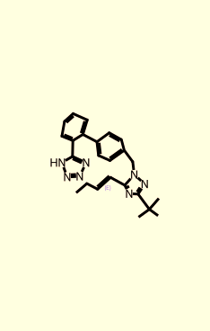 CC/C=C/c1nc(C(C)(C)C)nn1Cc1ccc(-c2ccccc2-c2nnn[nH]2)cc1